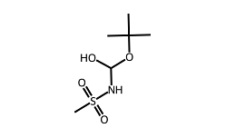 CC(C)(C)OC(O)NS(C)(=O)=O